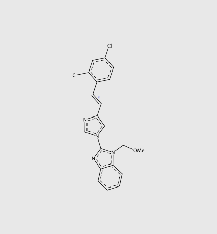 COCn1c(-n2cnc(/C=C/c3ccc(Cl)cc3Cl)c2)nc2ccccc21